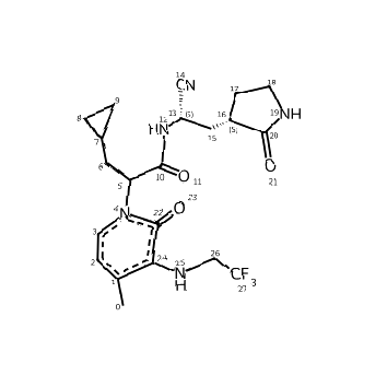 Cc1ccn(C(CC2CC2)C(=O)N[C@H](C#N)C[C@@H]2CCNC2=O)c(=O)c1NCC(F)(F)F